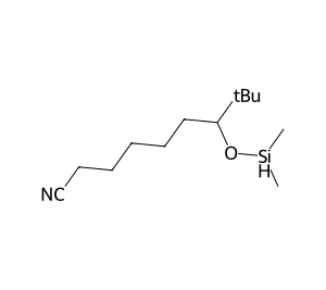 C[SiH](C)OC(CCCCCC#N)C(C)(C)C